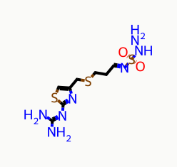 NNS(=O)(=O)N=CCCSCc1csc(N=C(N)N)n1